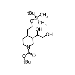 CC(C)(C)OC(=O)N1CC[C@@H](CCO[Si](C)(C)C(C)(C)C)[C@@H](C(O)CO)C1